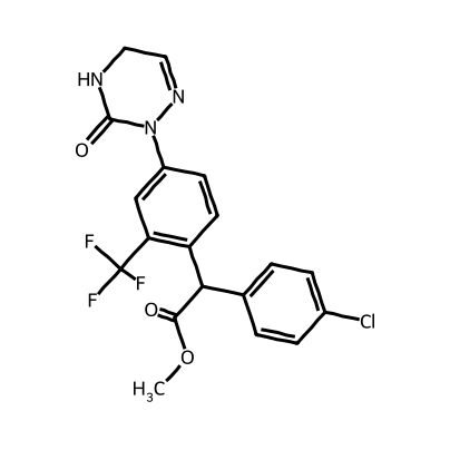 COC(=O)C(c1ccc(Cl)cc1)c1ccc(N2N=CCNC2=O)cc1C(F)(F)F